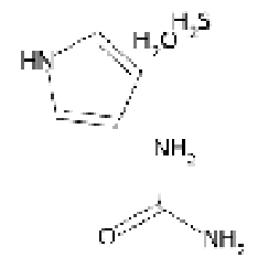 NC(N)=O.O.S.c1cc[nH]c1